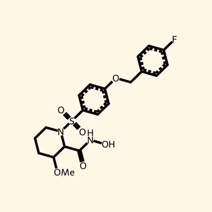 COC1CCCN(S(=O)(=O)c2ccc(OCc3ccc(F)cc3)cc2)C1C(=O)NO